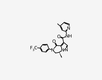 Cc1ccnc(NC(=O)c2cnn3c2C(=O)N(c2ccc(C(F)(F)F)cc2)C[C@@H]3C)c1